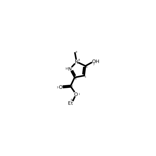 CCOC(=O)c1cc(O)n(C)n1